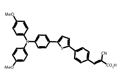 COc1ccc(N(c2ccc(OC)cc2)c2ccc(-c3ccc(-c4ccc(/C=C(\C#N)C(=O)O)cc4)s3)cc2)cc1